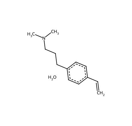 C=Cc1ccc(CCCN(C)C)cc1.O